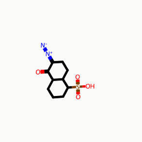 [N-]=[N+]=C1CCC2C(CCCC2S(=O)(=O)O)C1=O